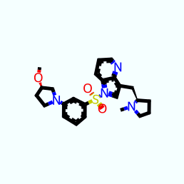 CO[C@@H]1CCN(c2cccc(S(=O)(=O)n3cc(C[C@H]4CCCN4C)c4ncccc43)c2)C1